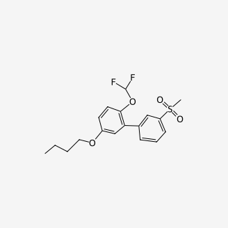 CCCCOc1ccc(OC(F)F)c(-c2cccc(S(C)(=O)=O)c2)c1